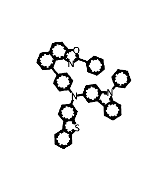 c1ccc(-c2nc3c(ccc4cccc(-c5ccc(N(c6ccc7c(c6)sc6ccccc67)c6ccc7c(c6)c6ccccc6n7-c6ccccc6)cc5)c43)o2)cc1